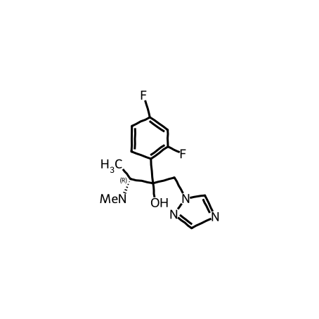 CN[C@H](C)C(O)(Cn1cncn1)c1ccc(F)cc1F